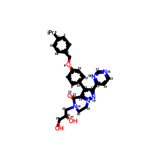 CC(C)c1ccc(COc2ccc(-c3c(-c4ccncn4)nn4c3C(=O)N(CC(O)CO)CC4)cc2)cc1